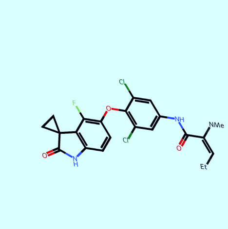 CC/C=C(/NC)C(=O)Nc1cc(Cl)c(Oc2ccc3c(c2F)C2(CC2)C(=O)N3)c(Cl)c1